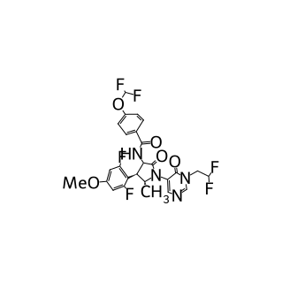 COc1cc(F)c([C@H]2C(NC(=O)c3ccc(OC(F)F)cc3)C(=O)N(c3cncn(CC(F)F)c3=O)[C@H]2C)c(F)c1